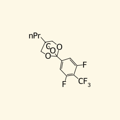 CCCC12COC(c3cc(F)c(C(F)(F)F)c(F)c3)(OC1)OC2